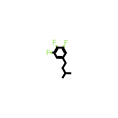 CC(C)CCc1cc(F)c(F)c(F)c1